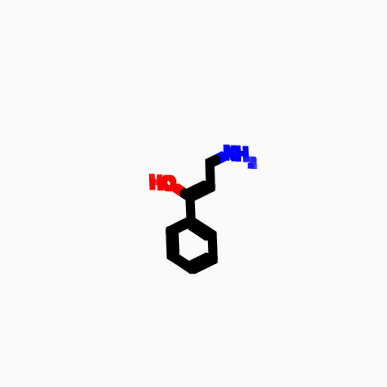 NCC=C(O)c1ccccc1